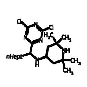 CCCCCCCC(NC1CC(C)(C)NC(C)(C)C1)c1nc(Cl)nc(Cl)n1